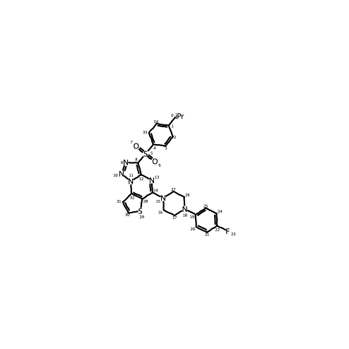 CC(C)c1ccc(S(=O)(=O)c2nnn3c2nc(N2CCN(c4ccc(F)cc4)CC2)c2sccc23)cc1